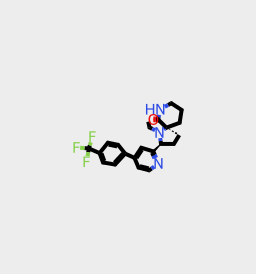 CCN1[C@H](c2cc(-c3ccc(C(F)(F)F)cc3)ccn2)CC[C@]12CCCNC2=O